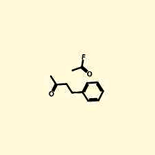 CC(=O)CCc1ccccc1.CC(=O)F